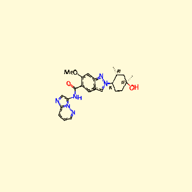 COc1cc2nn([C@@H]3CC[C@](C)(O)C[C@H]3C)cc2cc1C(=O)Nc1cnc2cccnn12